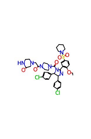 CCOc1ccc(S(=O)(=O)N2CCCCC2)cc1C1=NC(c2ccc(Cl)cc2)C(c2ccc(Cl)cc2)N1C(=O)N1CCN(C(=O)CN2CCNC(=O)C2)CC1